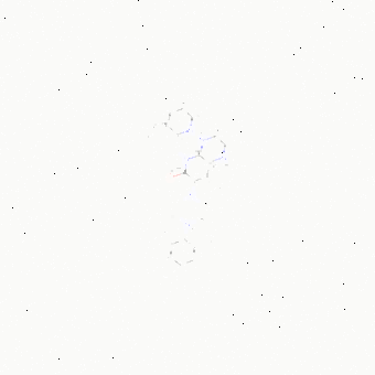 Cc1cccc(F)c1N1CCN(c2c(C)c3nccnc3n(Cc3ncccc3C(F)(F)F)c2=O)CC1